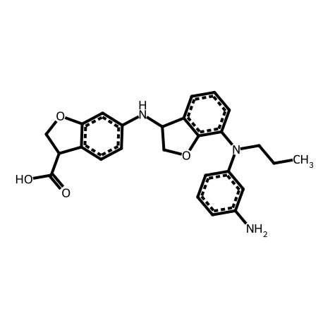 CCCN(c1cccc(N)c1)c1cccc2c1OCC2Nc1ccc2c(c1)OCC2C(=O)O